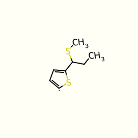 CCC(SC)c1cc[c]s1